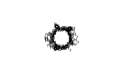 CCCC[C@@H]1NC(=O)C(C)(C)N(C)C(=O)[C@H](CCCC)NC(=O)[C@H](Cc2cccc(I)c2)NC(=O)CN(C)C(=O)[C@H](Cc2ccc(Cl)cc2)N(C)C(=O)CN(C)C(=O)CN(C)C(=O)[C@H]([C@@H](C)CC)NC(=O)[C@H](CC(C)C)N(C)C(=O)C[C@@H](C(=O)N2CCCCC2)N(C)C1=O